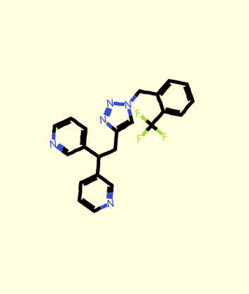 FC(F)(F)c1ccccc1Cn1cc(CC(c2cccnc2)c2cccnc2)nn1